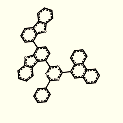 c1ccc(-c2nc(-c3cc4ccccc4c4ccccc34)nc(-c3ccc(-c4cccc5c4oc4ccccc45)c4oc5ccccc5c34)n2)cc1